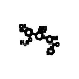 COc1ccc(C2CCN([C@@H]3CN[C@H](C(=O)N4CCSC4)C3)CC2)c(OC)c1.Cl.Cl